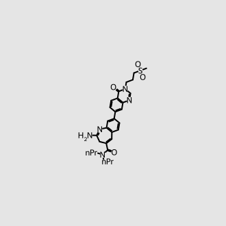 CCCN(CCC)C(=O)C1=Cc2ccc(-c3ccc4c(=O)n(CCCS(C)(=O)=O)cnc4c3)cc2N=C(N)C1